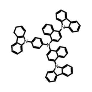 C1=Cc2c(c3ccccc3n2-c2ccc(N(c3ccc(-n4c5ccccc5c5ccccc54)c4ccccc34)c3ccc(-n4c5ccccc5c5ccccc54)c4ccccc34)cc2)CC1